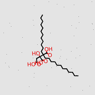 CCCCCCCCCCCCC(CCCCCCCCCCCC)(C(=O)O)C(O)(CC(=O)O)C(=O)O